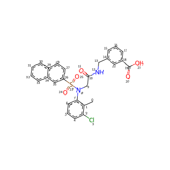 Cc1c(Cl)cccc1N(CC(=O)NCc1cccc(C(=O)O)c1)S(=O)(=O)c1ccc2ccccc2c1